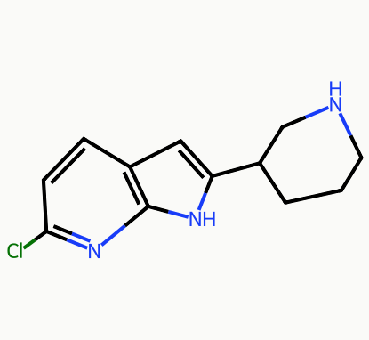 Clc1ccc2cc(C3CCCNC3)[nH]c2n1